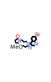 COCCc1nc2cnc3cc(Br)ccc3c2n1CCCN1CCCC1=O